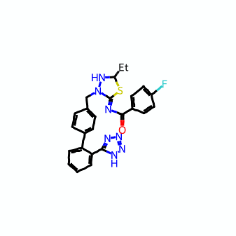 CCC1NN(Cc2ccc(-c3ccccc3-c3nnn[nH]3)cc2)C(=NC(=O)c2ccc(F)cc2)S1